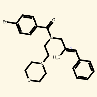 CCc1ccc(C(=O)N(CCN2CCOCC2)C/C(C)=C/c2ccccc2)cc1